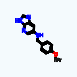 CCCOc1ccc(CNc2cnc3[nH]cnc3c2)cc1